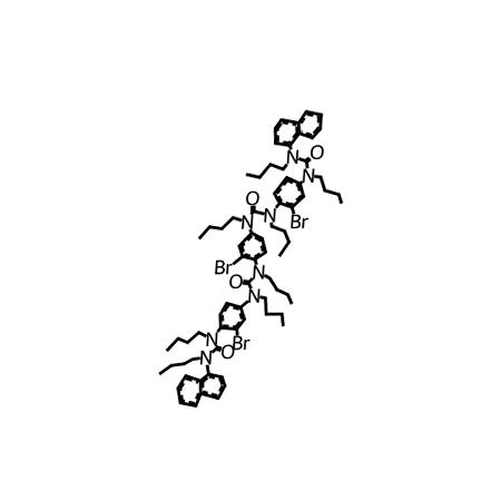 CCCCN(C(=O)N(CCCC)c1ccc(N(CCCC)C(=O)N(CCCC)c2ccc(N(CCCC)C(=O)N(CCCC)c3cccc4ccccc34)cc2Br)cc1Br)c1ccc(N(CCCC)C(=O)N(CCCC)c2cccc3ccccc23)c(Br)c1